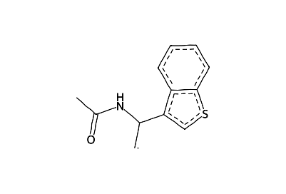 [CH2]C(NC(C)=O)c1csc2ccccc12